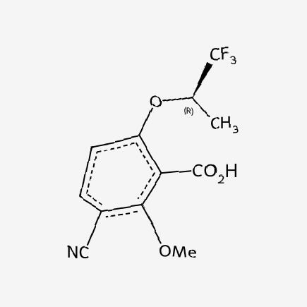 COc1c(C#N)ccc(O[C@H](C)C(F)(F)F)c1C(=O)O